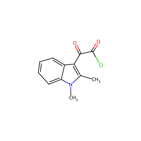 Cc1c(C(=O)C(=O)Cl)c2ccccc2n1C